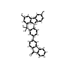 Cc1ccc2c(c1)c1cc(C)cc3c1n2-c1ccc(-c2ccc4c(c2)-c2ccccc2C4=O)cc1C3(C)C